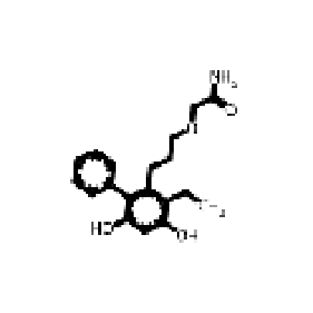 CCc1c(O)cc(O)c(-c2ccccc2)c1CCCOCC(N)=O